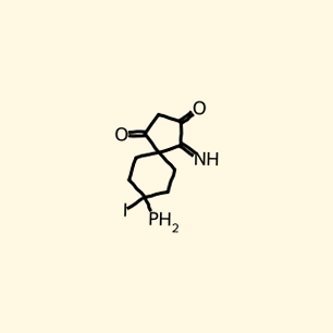 N=C1C(=O)CC(=O)C12CCC(P)(I)CC2